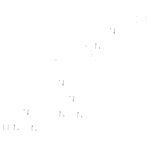 Nc1ncc(-c2nc(N3CCOCC3)nc3c2CCN3c2ccc(S(=O)(=O)N3CCN(CCO)CC3)cc2F)cn1